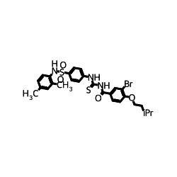 Cc1ccc(NS(=O)(=O)c2ccc(NC(=S)NC(=O)c3ccc(OCCC(C)C)c(Br)c3)cc2)c(C)c1